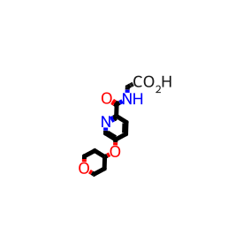 O=C(O)CNC(=O)c1ccc(OC2CCOCC2)cn1